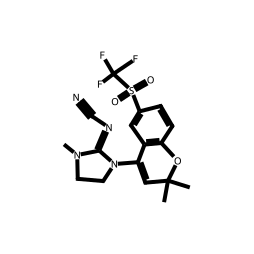 CN1CCN(C2=CC(C)(C)Oc3ccc(S(=O)(=O)C(F)(F)F)cc32)C1=NC#N